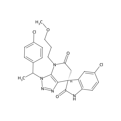 COCCCN1C(=O)C[C@]2(C(=O)Nc3ccc(Cl)cc32)c2nnn(C(C)c3ccc(Cl)cc3)c21